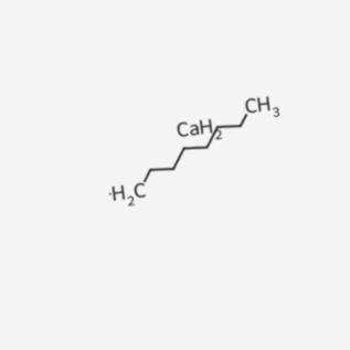 [CH2]CCCCCCC.[CaH2]